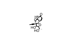 CC#C[C@@]1(F)C(O)[C@@H]([C@H](C)O)O[C@H]1n1ccc(=O)[nH]c1=O